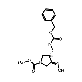 CC(C)(C)OC(=O)N1CC(=NO)[C@@H](CNC(=O)OCc2ccccc2)C1